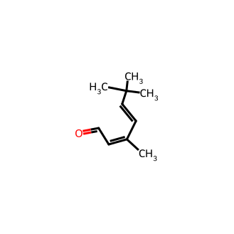 CC(C=CC(C)(C)C)=CC=O